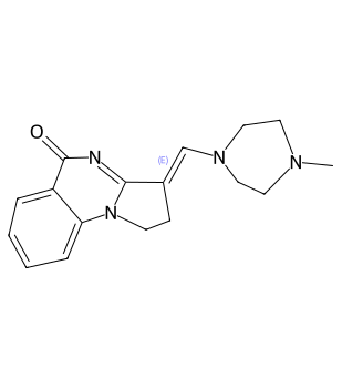 CN1CCN(/C=C2\CCn3c2nc(=O)c2ccccc23)CC1